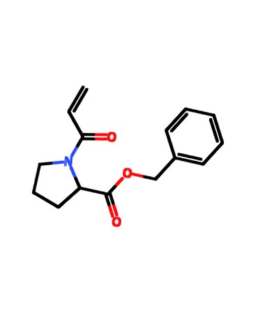 C=CC(=O)N1CCCC1C(=O)OCc1ccccc1